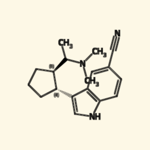 CC([C@@H]1CCC[C@H]1c1c[nH]c2ccc(C#N)cc12)N(C)C